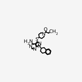 C=CC(=O)N1CCC(Sc2nn(C3CCc4ccccc4C3)c3ncnc(N)c23)CC1